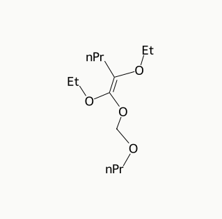 CCCOCO/C(OCC)=C(/CCC)OCC